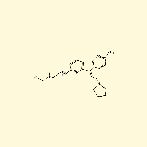 Cc1ccc(/C(=C\CN2CCCC2)c2cccc(/C=C/CNCC(C)C)n2)cc1